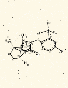 Cn1c2c(c(=O)n1Cc1ccc(F)cc1C(F)(F)F)[C@H]1CC[C@]2(C)C1(C)C